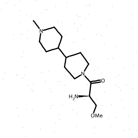 COC[C@@H](N)C(=O)N1CCC(C2CCN(C)CC2)CC1